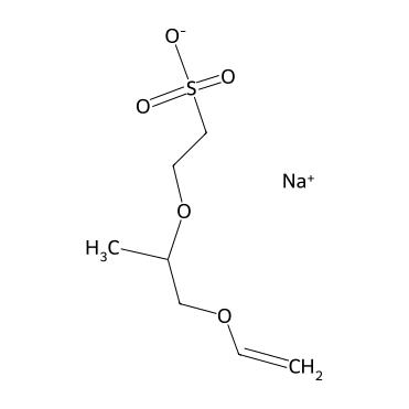 C=COCC(C)OCCS(=O)(=O)[O-].[Na+]